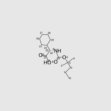 CCCC(C)(C)OC(=O)N[C@H](C(=O)O)C1CCCCC1